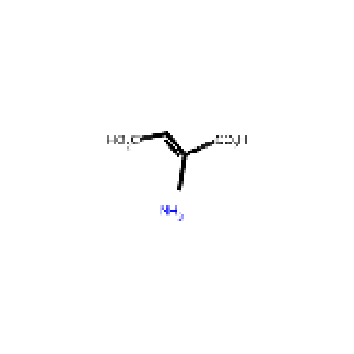 C/C(=C\C(=O)O)C(=O)O.N